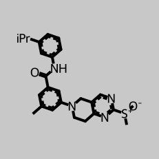 Cc1cc(C(=O)Nc2cccc(C(C)C)c2)cc(N2CCc3nc([S+](C)[O-])ncc3C2)c1